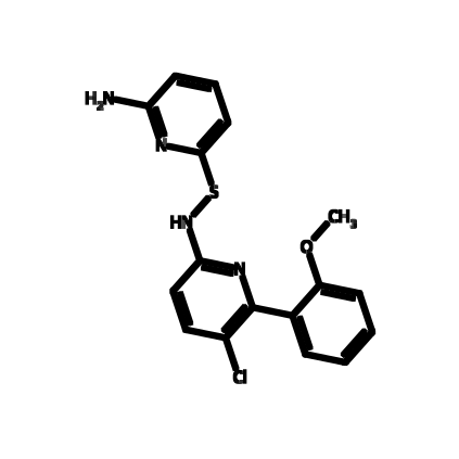 COc1ccccc1-c1nc(NSc2cccc(N)n2)ccc1Cl